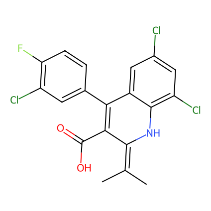 CC(C)=C1Nc2c(Cl)cc(Cl)cc2C(c2ccc(F)c(Cl)c2)=C1C(=O)O